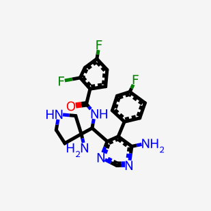 Nc1ncnc(C(NC(=O)c2ccc(F)cc2F)C2(N)CCNC2)c1-c1ccc(F)cc1